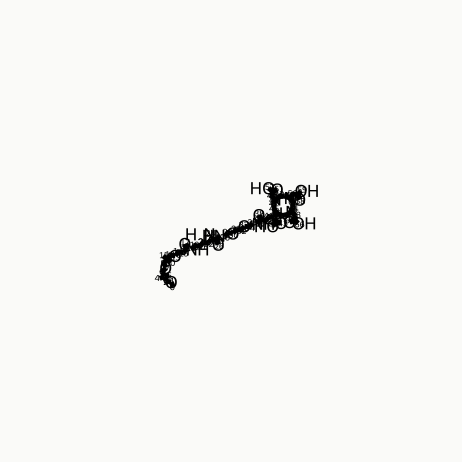 COCC(C)(C)COCC(C)(C)COCCC(=O)NCCCC[C@H](N)C(=O)NCCOCCOCCNC(=O)CCC(C(=O)O)N1CCN(CC(=O)O)CCN(CC(=O)O)CCN(CC(=O)O)CC1